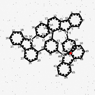 c1ccc(-n2c3ccccc3c3cccc(-c4cc(-c5cccc6c7ccccc7n(-c7ccccc7)c56)cc(-n5c6ccccc6c6ccccc65)c4)c32)cc1